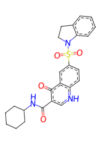 O=C(NC1CCCCC1)c1c[nH]c2ccc(S(=O)(=O)N3CCc4ccccc43)cc2c1=O